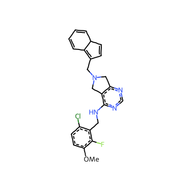 COc1ccc(Cl)c(CNc2ncnc3c2CN(CC2=C4C=CC=CC4C=C2)C3)c1F